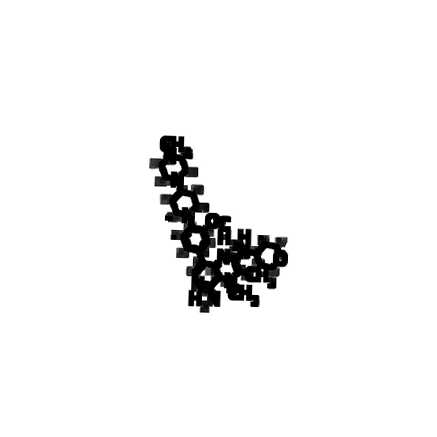 COc1cc(C2=CN=C(N)C3C2=NC(NC2CCOCC2)=C(C)N3C)ccc1N1CCC(N2CCN(C)CC2)CC1